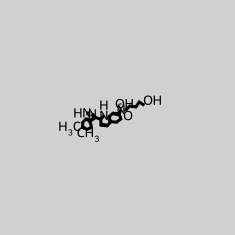 CC1(C)CCc2c(C3C=CC4=C(C=C(N(O)C(=O)CCCCO)CC4)N3)n[nH]c2C1